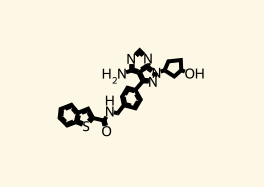 Nc1ncnc2c1c(-c1ccc(CNC(=O)c3cc4ccccc4s3)cc1)nn2C1CCC(O)C1